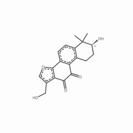 CC1(C)c2ccc3c(c2CC[C@@H]1O)C(=O)C(=O)c1c(CO)coc1-3